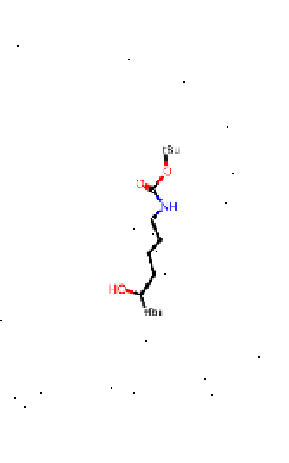 CC(C)(C)OC(=O)NCCCC[C@H](O)C(C)(C)C